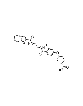 O=C(NCCNC(=O)c1ccc(O[C@H]2CC[C@@H](C(=O)O)CC2)cc1F)c1cc2cccc(F)c2s1